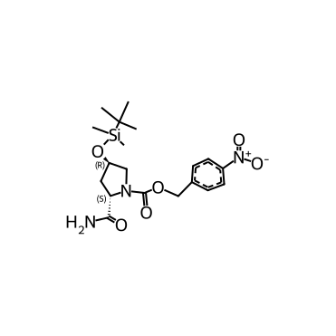 CC(C)(C)[Si](C)(C)O[C@@H]1C[C@@H](C(N)=O)N(C(=O)OCc2ccc([N+](=O)[O-])cc2)C1